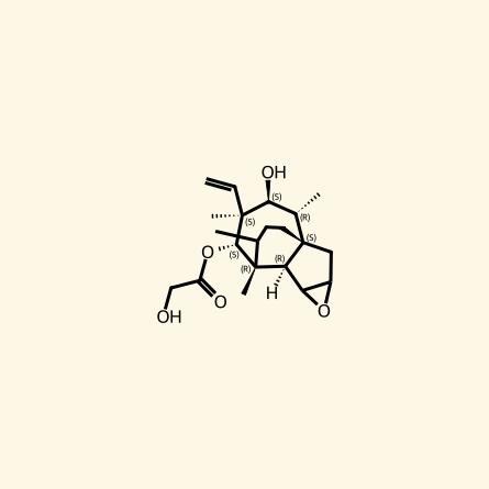 C=C[C@]1(C)[C@@H](OC(=O)CO)[C@]2(C)C(C)CC[C@]3(CC4OC4[C@H]32)[C@@H](C)[C@@H]1O